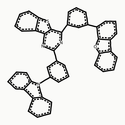 c1cc(-c2cccc3c2oc2ccccc23)cc(-c2nc(-c3cccc(-n4c5ccccc5c5ccccc54)c3)nc3c2sc2ccccc23)c1